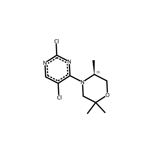 C[C@H]1COC(C)(C)CN1c1nc(Cl)ncc1Cl